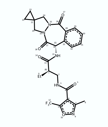 CC[C@H](CNC(=O)c1c(C)noc1C(F)(F)F)C(=O)N[C@@H]1C(=O)N2CC3(CC3)CN2C(=O)c2ccccc21